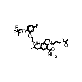 CC(=O)OCCCN1CCc2cc(C[C@@H](C)NCCOc3cc(F)ccc3OCC(F)(F)F)cc(C(N)=O)c21